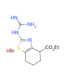 Br.CCOC(=O)C1CCCc2sc(NC(=N)N)nc21